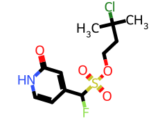 CC(C)(Cl)CCOS(=O)(=O)C(F)c1cc[nH]c(=O)c1